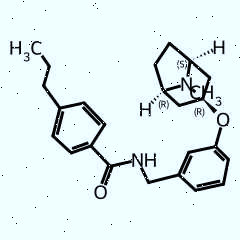 CCCc1ccc(C(=O)NCc2cccc(O[C@H]3C[C@H]4CC[C@@H](C3)N4C)c2)cc1